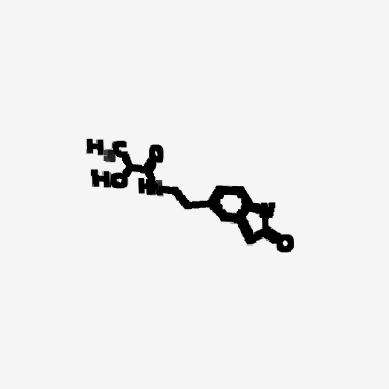 C[C@H](O)C(=O)NCCc1ccc2c(c1)=CC(=O)N=2